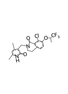 Cc1cc(C)c(CN2CCc3ccc(OC(C)C(F)(F)F)c(Cl)c3C2=O)c(=O)[nH]1